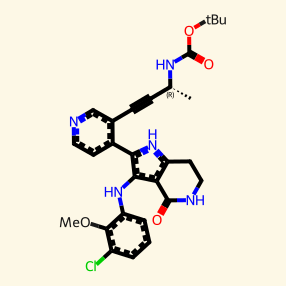 COc1c(Cl)cccc1Nc1c(-c2ccncc2C#C[C@@H](C)NC(=O)OC(C)(C)C)[nH]c2c1C(=O)NCC2